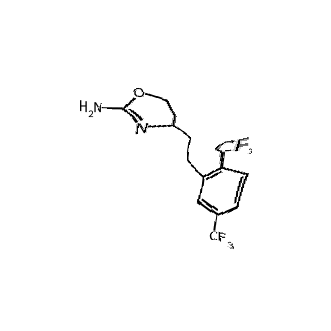 NC1=NC(CCc2cc(C(F)(F)F)ccc2C(F)(F)F)CO1